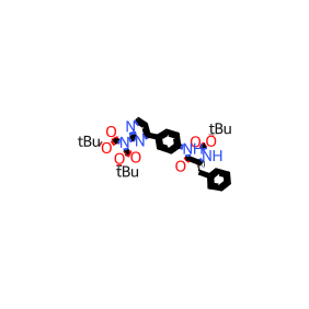 CC(C)(C)OC(=O)N[C@H](Cc1ccccc1)C(=O)Nc1ccc(-c2ccnc(N(C(=O)OC(C)(C)C)C(=O)OC(C)(C)C)n2)cc1